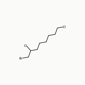 ClCCCCCCC(Cl)CBr